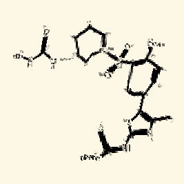 CCCCCC(=O)Nc1nc(C)c(-c2ccc(OC)c(S(=O)(=O)N3CCC[C@@H](OC(=O)NC(C)(C)C)C3)c2)s1